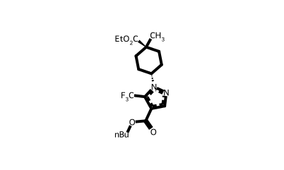 CCCCOC(=O)c1cnn([C@H]2CC[C@](C)(C(=O)OCC)CC2)c1C(F)(F)F